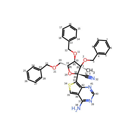 C[C@@]1(OCc2ccccc2)[C@H](OCc2ccccc2)[C@@H](COCc2ccccc2)O[C@@]1(C#N)c1scc2c(N)ncnc12